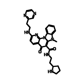 Cn1c2ccccc2n2c3nc(NCCc4cnccn4)ccc3c(=O)c(C(=O)NCCC3CCCN3)c12